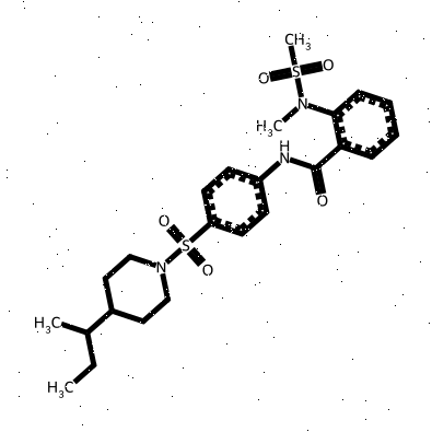 CCC(C)C1CCN(S(=O)(=O)c2ccc(NC(=O)c3ccccc3N(C)S(C)(=O)=O)cc2)CC1